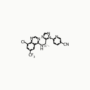 C[C@H](Nc1ncnc2c(Cl)cc(C(F)(F)F)cc12)c1ncnn1-c1ccc(C#N)cn1